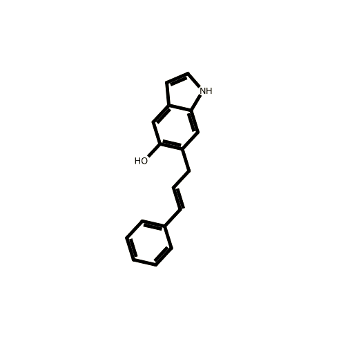 Oc1cc2cc[nH]c2cc1C/C=C/c1ccccc1